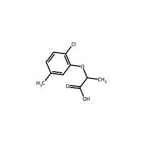 Cc1ccc(Cl)c(OC(C)C(=O)O)c1